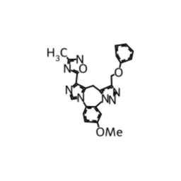 COc1ccc2c(c1)-n1nnc(COc3ccccc3)c1Cc1c(-c3nc(C)no3)ncn1-2